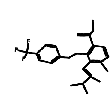 C=C(CC)c1ccc(C)c(/C=C(\C)C(C)C)c1CCc1ccc(C(F)(F)F)cc1